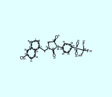 O=C1CN(Cc2ccnc3cc(Cl)ccc23)C(=O)N1c1ccc(S(=O)(=O)C(F)(F)F)cc1